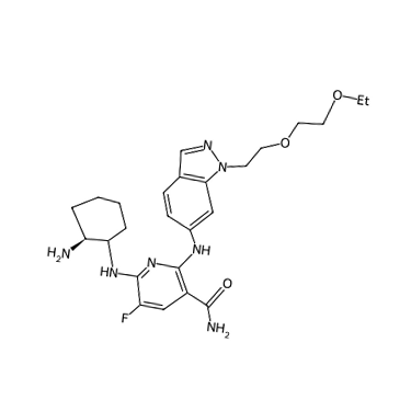 CCOCCOCCn1ncc2ccc(Nc3nc(NC4CCCC[C@@H]4N)c(F)cc3C(N)=O)cc21